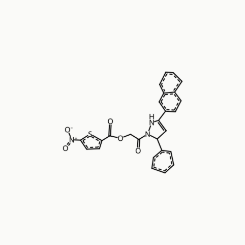 O=C(OCC(=O)N1NC(c2ccc3ccccc3c2)=CC1c1ccccc1)c1ccc([N+](=O)[O-])s1